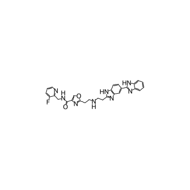 O=C(NCc1ncccc1F)c1coc(CCNCCc2nc3cc(-c4nc5ccccc5[nH]4)ccc3[nH]2)n1